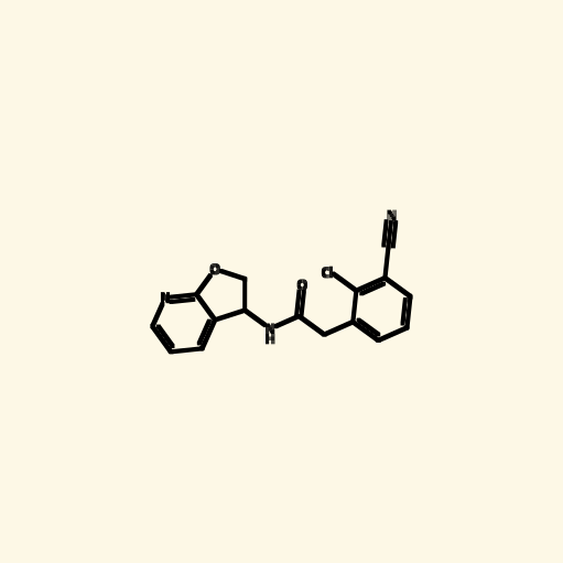 N#Cc1cccc(CC(=O)NC2COc3ncccc32)c1Cl